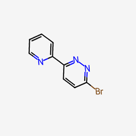 Brc1ccc(-c2ccccn2)nn1